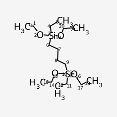 CCO[Si](CC)(CCCC[Si](CC)(OCC)OCC)OCC